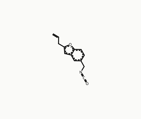 C=CCc1cc2cc(CN=C=O)ccc2o1